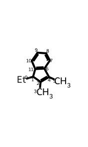 CCC1C(C)=C(C)c2[c]cccc21